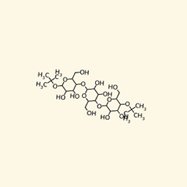 CC(C)(C)OC1OC(CO)C(OC2OC(CO)C(OC3OC(CO)C(OC(C)(C)C)C(O)C3O)C(O)C2O)C(O)C1O